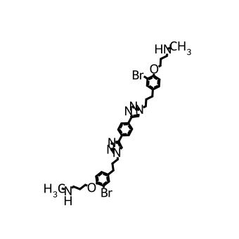 CNCCCOc1ccc(CCCn2cc(-c3ccc(-c4cn(CCCc5ccc(OCCCNC)c(Br)c5)nn4)cc3)nn2)cc1Br